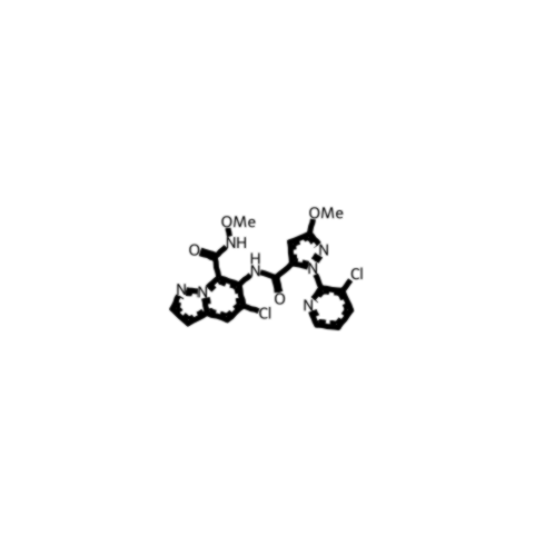 CONC(=O)c1c(NC(=O)c2cc(OC)nn2-c2ncccc2Cl)c(Cl)cc2ccnn12